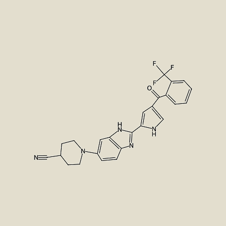 N#CC1CCN(c2ccc3nc(-c4cc(C(=O)c5ccccc5C(F)(F)F)c[nH]4)[nH]c3c2)CC1